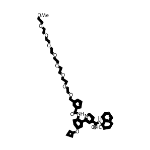 COCCOCCOCCOCCOCCOCCOCCOCCOCc1cccc(C(=O)Nc2ccc(OC3CCC3)cc2-c2cc(C(=O)N[C@@]3(C=O)C=CCc4ccccc43)ccn2)c1